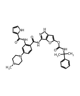 CN1CCN(c2ccc(C(=O)Nc3n[nH]c4cc(OC(=O)NC(C)(C)c5ccccc5)oc34)c(NC(=O)c3ccc[nH]3)c2)CC1